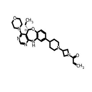 C=CC(=O)N1CC(N2CCC(c3ccc4c(c3)Nc3ncnc(N5CCOCC5)c3[C@H](CC)O4)CC2)C1